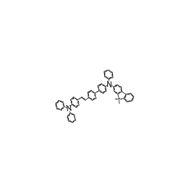 CC1(C)c2ccccc2-c2ccc(N(c3ccccc3)c3ccc(-c4ccc(/C=C/c5ccc(N(c6ccccc6)c6ccccc6)cc5)cc4)cc3)cc21